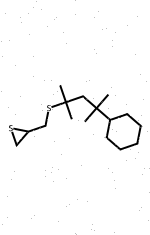 CC(C)(CC(C)(C)C1CCCCC1)SCC1CS1